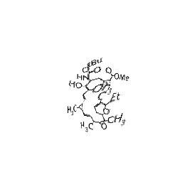 CC[C@H]1O[C@@H](C2(C)OC2[C@H](C)/C=C/[C@H]2[C@@H](C)[C@@H]2/C=C/[C@@H]2O[C@H](CC(=O)OC)C[C@H](NC(=O)OC(C)(C)C)[C@H]2O)CC=C1C